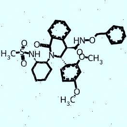 COc1ccc([C@H]2[C@H](C(=O)NOCc3ccccc3)c3ccccc3C(=O)N2[C@H]2CCCC[C@@H]2NS(C)(=O)=O)c(OC)c1